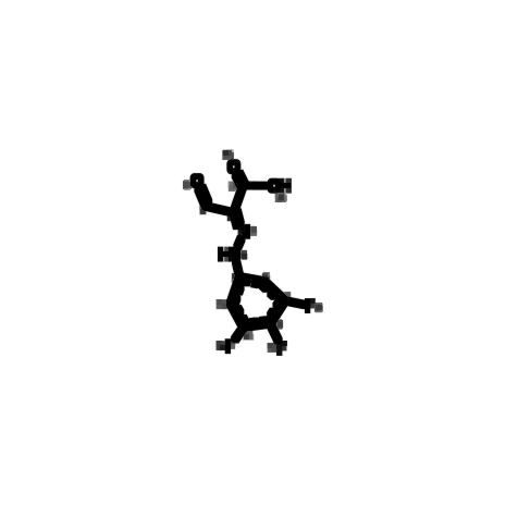 O=C/C(=N\Nc1cc(F)c(F)c(F)c1)C(=O)O